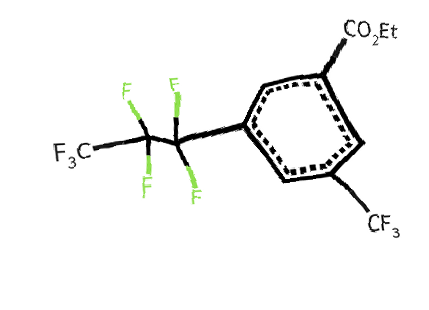 CCOC(=O)c1cc(C(F)(F)F)cc(C(F)(F)C(F)(F)C(F)(F)F)c1